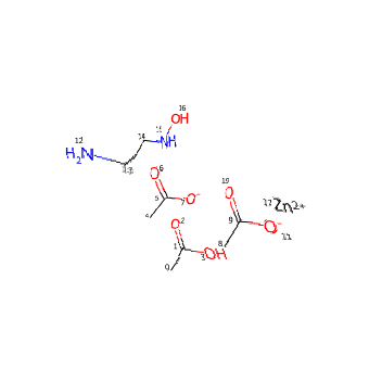 CC(=O)O.CC(=O)[O-].CC(=O)[O-].NCCNO.[Zn+2]